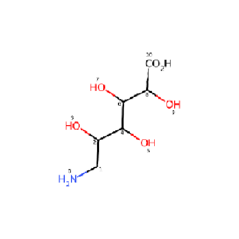 NCC(O)C(O)C(O)C(O)C(=O)O